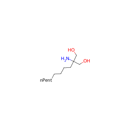 CCCCCCCCCC(N)(CO)CO